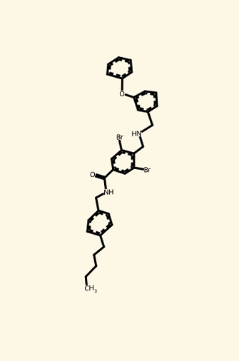 CCCCCc1ccc(CNC(=O)c2cc(Br)c(CNCc3cccc(Oc4ccccc4)c3)c(Br)c2)cc1